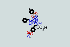 Cc1ccc(S(=O)(=O)N(C)c2nc(NCc3ccccc3)nc(N[C@@H](Cc3ccc(OC(=O)N(C)C)cc3)C(=O)O)n2)cc1